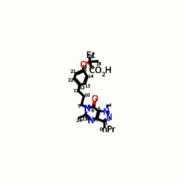 CCCc1nn(C)c2c(=O)n(CCCc3ccc(OC(C)(CC)C(=O)O)cc3)c(C)nc12